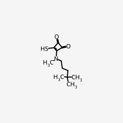 CN(CCCC(C)(C)C)c1c(S)c(=O)c1=O